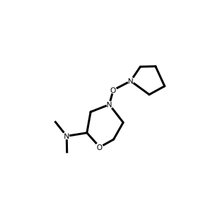 CN(C)C1CN(ON2CCCC2)CCO1